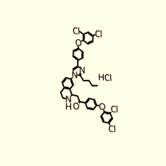 CCCCc1nc(-c2ccc(Oc3ccc(Cl)cc3Cl)cc2)cn1-c1ccc2c(c1)C(CC(=O)c1ccc(Oc3ccc(Cl)cc3Cl)cc1)NCC2.Cl